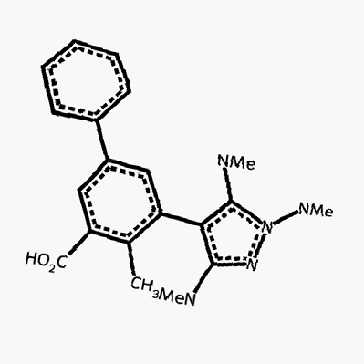 CNc1nn(NC)c(NC)c1-c1cc(-c2ccccc2)cc(C(=O)O)c1C